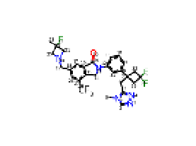 Cn1cnnc1CC1(c2cccc(N3Cc4c(cc(CN5CC(C)(F)C5)cc4C(F)(F)F)C3=O)c2)CC(F)(F)C1